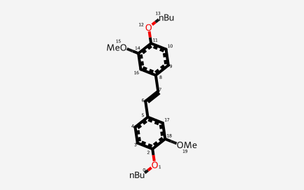 CCCCOc1ccc(/C=C/c2ccc(OCCCC)c(OC)c2)cc1OC